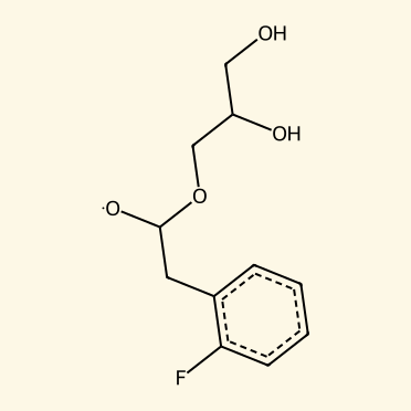 [O]C(Cc1ccccc1F)OCC(O)CO